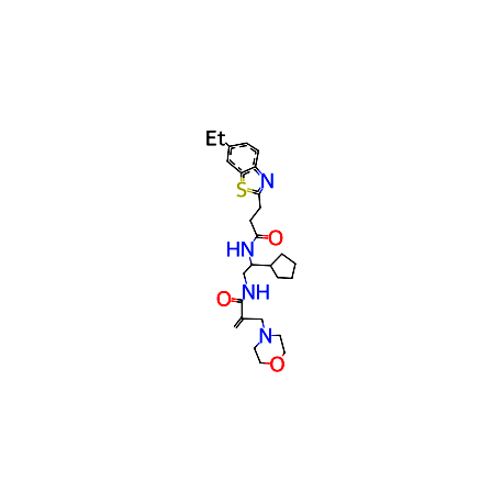 C=C(CN1CCOCC1)C(=O)NCC(NC(=O)CCc1nc2ccc(CC)cc2s1)C1CCCC1